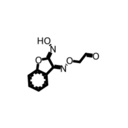 O=CCON=C1C(=NO)Oc2ccccc21